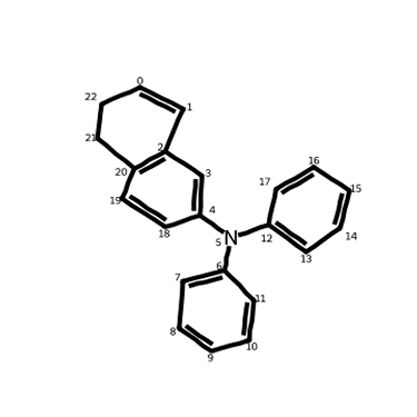 C1=Cc2cc(N(c3ccccc3)c3ccccc3)ccc2CC1